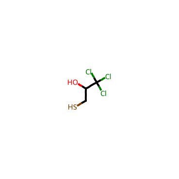 OC(CS)C(Cl)(Cl)Cl